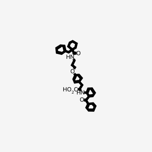 O=C(c1ccccc1)c1ccccc1NC(Cc1ccc(OCCCNC(=O)C2(Cc3ccccc3)CCCCC2)cc1)C(=O)O